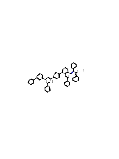 N=C(/C(=C1\NC(c2ccccc2)=Cc2c1cccc2-c1ccc(-c2cc(-c3cccc(-c4ccccc4)c3)nc(-c3ccccc3)n2)cc1)c1ccccc1)c1ccccc1